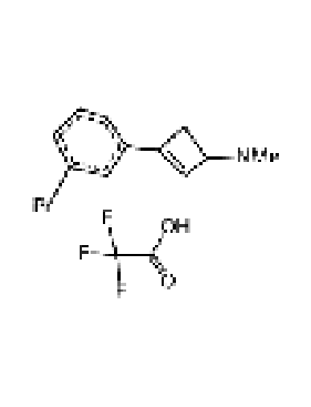 CNC1C=C(c2cccc(C(C)C)c2)C1.O=C(O)C(F)(F)F